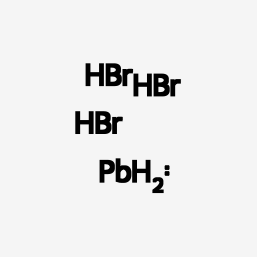 Br.Br.Br.[PbH2]